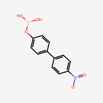 O=[N+]([O-])c1ccc(-c2ccc(OB(O)O)cc2)cc1